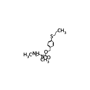 CCCSc1ccc(COC(=O)N(C)CCNC)cc1